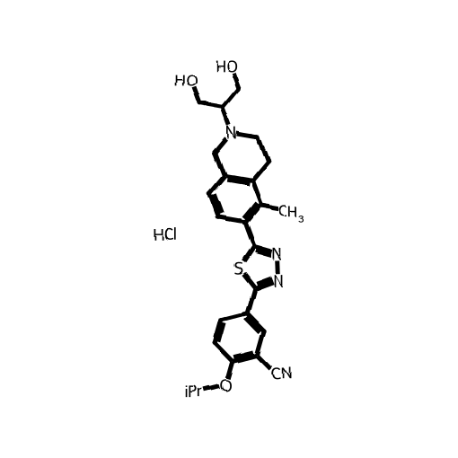 Cc1c(-c2nnc(-c3ccc(OC(C)C)c(C#N)c3)s2)ccc2c1CCN(C(CO)CO)C2.Cl